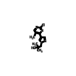 Cc1cnc(Cl)nc1-c1cnn(CC(C)(C)O)c1